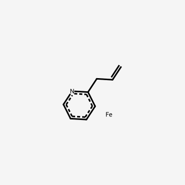 C=CCc1ccccn1.[Fe]